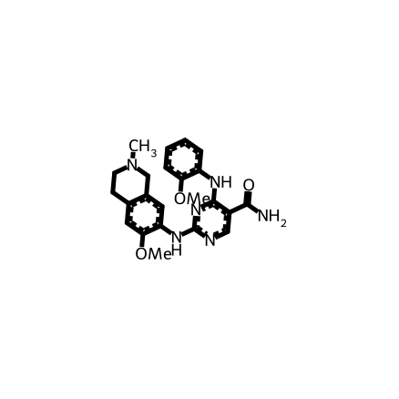 COc1cc2c(cc1Nc1ncc(C(N)=O)c(Nc3ccccc3OC)n1)CN(C)CC2